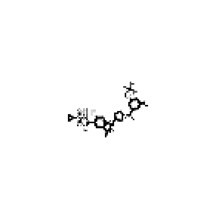 Cc1nn(C2CCN([C@H](C)c3cc(Cl)cc(OC(F)(F)F)c3)C2)c2cc(F)c(C(=O)NS(=O)(=O)C3CC3)cc12